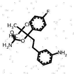 CC(C)(C)C(CCc1cccc(N)c1)(OC(N)=O)c1ccc(F)cc1